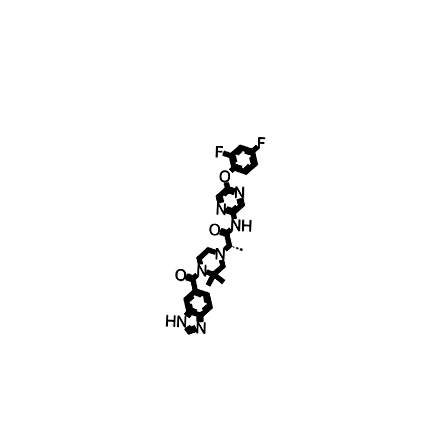 C[C@@H](C(=O)Nc1cnc(Oc2ccc(F)cc2F)cn1)N1CCN(C(=O)c2ccc3nc[nH]c3c2)C(C)(C)C1